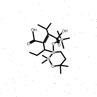 CCC(C(C(=O)O)=C(C(=O)O)C(C)C)[Si]1(O[Si](C)(C)C)CCC(C)(C)O[Si]1(C)C